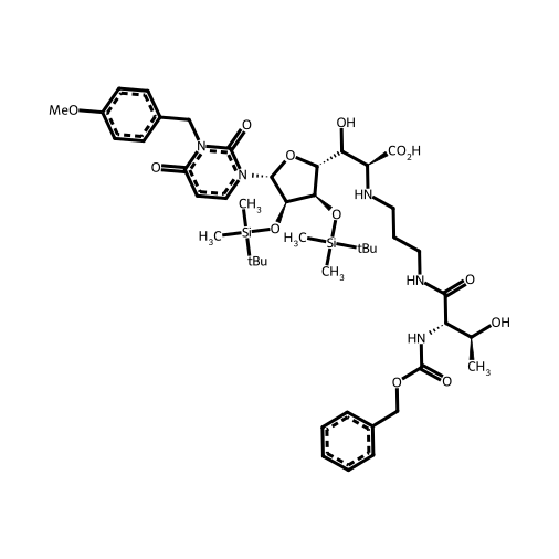 COc1ccc(Cn2c(=O)ccn([C@@H]3O[C@H](C(O)[C@H](NCCCNC(=O)[C@@H](NC(=O)OCc4ccccc4)[C@H](C)O)C(=O)O)[C@@H](O[Si](C)(C)C(C)(C)C)[C@H]3O[Si](C)(C)C(C)(C)C)c2=O)cc1